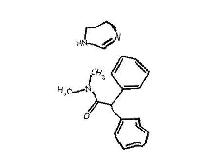 C1=NCCN1.CN(C)C(=O)C(c1ccccc1)c1ccccc1